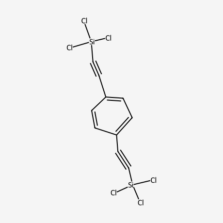 Cl[Si](Cl)(Cl)C#Cc1ccc(C#C[Si](Cl)(Cl)Cl)cc1